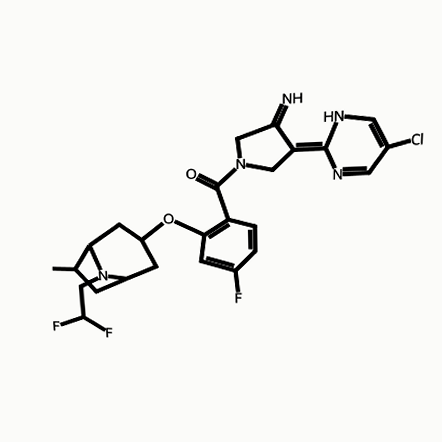 CC1CC2CC(Oc3cc(F)ccc3C(=O)N3CC(=N)/C(=C4/N=CC(Cl)=CN4)C3)CC1N2CC(F)F